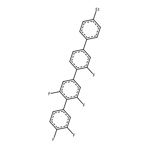 CCc1ccc(-c2ccc(-c3cc(F)c(-c4ccc(F)c(F)c4)c(F)c3)c(F)c2)cc1